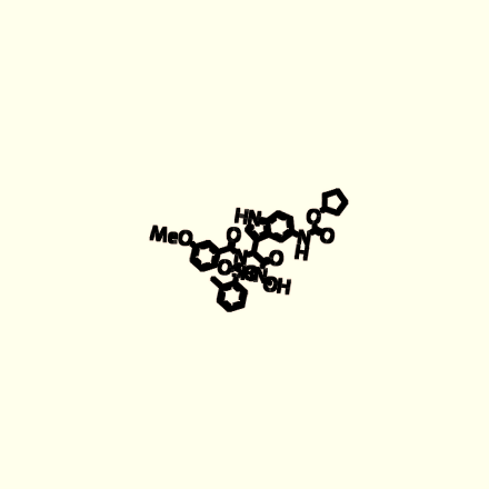 COc1cccc(C(=O)N(C(C(=O)NO)c2c[nH]c3ccc(NC(=O)OC4CCCC4)cc23)S(=O)(=O)c2ccccc2C)c1